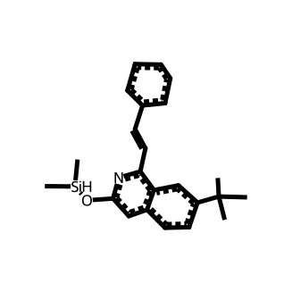 C[SiH](C)Oc1cc2ccc(C(C)(C)C)cc2c(/C=C/c2ccccc2)n1